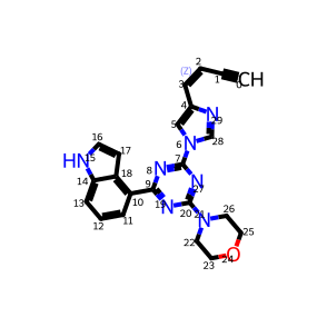 C#C/C=C\c1cn(-c2nc(-c3cccc4[nH]ccc34)nc(N3CCOCC3)n2)cn1